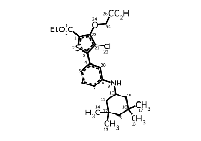 CCOC(=O)c1sc(-c2cccc(NC3CC(C)(C)CC(C)(C)C3)c2)c(Cl)c1OCC(=O)O